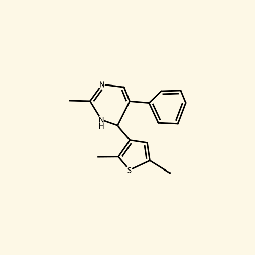 CC1=NC=C(c2ccccc2)C(c2cc(C)sc2C)N1